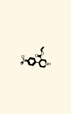 CCOC(=O)[C@H]1CNCC[C@H]1c1ccc([N+](=O)[O-])cc1